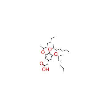 CCCCCC(C)Oc1cc(CC(=O)O)cc(OC(C)CCCCC)c1OC(C)CCCCC